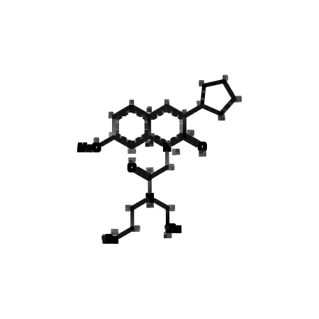 COc1ccc2cc(C3CCCC3)c(=O)n(CC(=O)N(CCC(C)(C)C)CC(C)(C)C)c2c1